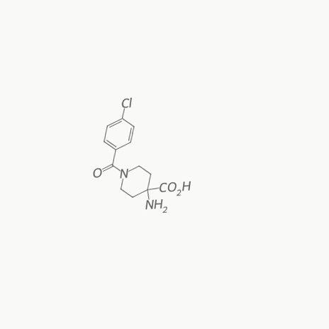 NC1(C(=O)O)CCN(C(=O)c2ccc(Cl)cc2)CC1